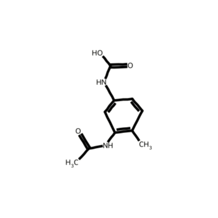 CC(=O)Nc1cc(NC(=O)O)ccc1C